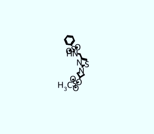 CS(=O)(=O)OC1CN(c2nc(CNS(=O)(=O)c3ccccc3)cs2)C1